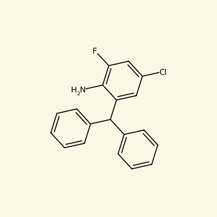 Nc1c(F)cc(Cl)cc1C(c1ccccc1)c1ccccc1